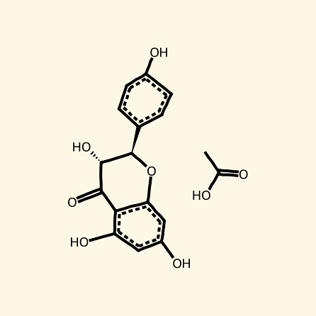 CC(=O)O.O=C1c2c(O)cc(O)cc2O[C@H](c2ccc(O)cc2)[C@H]1O